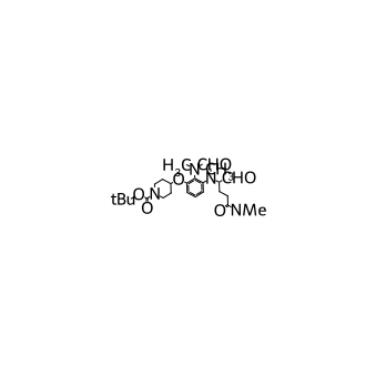 CNC(=O)CCC(C=O)N(C)c1cccc(OC2CCN(C(=O)OC(C)(C)C)CC2)c1N(C)C=O